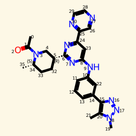 CC(=O)N1C[C@H](c2nc(Nc3cccc(-c4nnn(C)c4C)c3)cc(-c3cnccn3)n2)CC[C@@H]1C